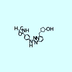 CNC(=O)c1ccc(Nc2nc3cccc(C[C@H]4CC[C@@H](O)C4)n3n2)cc1